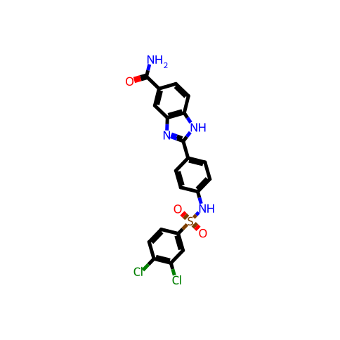 NC(=O)c1ccc2[nH]c(-c3ccc(NS(=O)(=O)c4ccc(Cl)c(Cl)c4)cc3)nc2c1